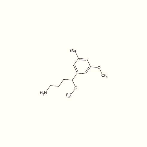 CC(C)(C)c1cc(OC(F)(F)F)cc(C(CCCN)OC(F)(F)F)c1